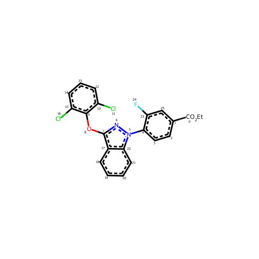 CCOC(=O)c1ccc(-n2nc(Oc3c(Cl)cccc3Cl)c3ccccc32)c(F)c1